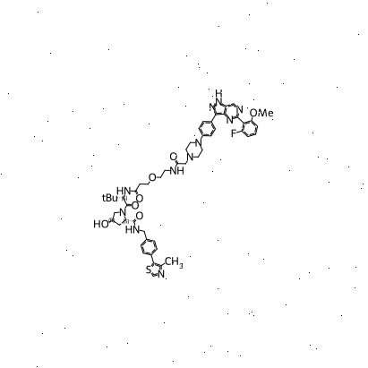 COc1cccc(F)c1-c1ncc2[nH]nc(-c3ccc(N4CCN(CC(=O)NCCOCCC(=O)N[C@H](C(=O)N5C[C@H](O)C[C@H]5C(=O)NCc5ccc(-c6scnc6C)cc5)C(C)(C)C)CC4)cc3)c2n1